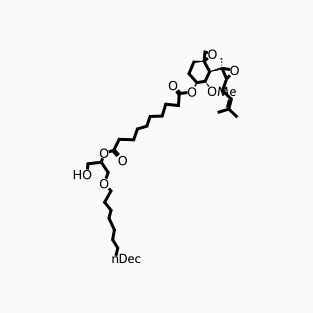 CCCCCCCCCCCCCCCCCOCC(CO)OC(=O)CCCCCCCCC(=O)O[C@@H]1CC[C@]2(CO2)[C@@H]([C@@]2(C)OC2CC=C(C)C)[C@@H]1OC